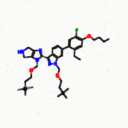 CCCCOc1cc(CC)c(-c2ccc3c(-c4nc5c(n4COCC[Si](C)(C)C)CNC5)nn(COCC[Si](C)(C)C)c3c2)cc1F